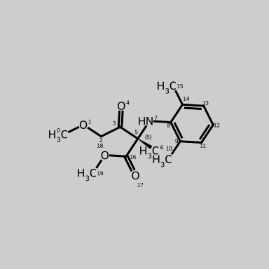 COCC(=O)[C@](C)(Nc1c(C)cccc1C)C(=O)OC